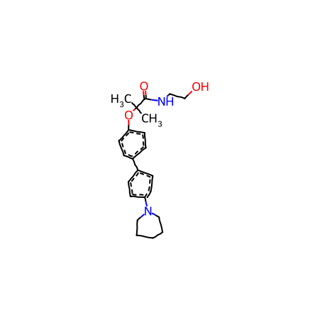 CC(C)(Oc1ccc(-c2ccc(N3CCCCC3)cc2)cc1)C(=O)NCCO